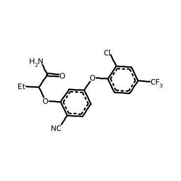 CCC(Oc1cc(Oc2ccc(C(F)(F)F)cc2Cl)ccc1C#N)C(N)=O